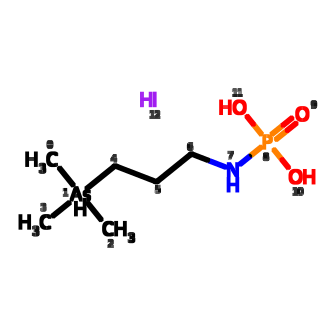 C[AsH](C)(C)CCCNP(=O)(O)O.I